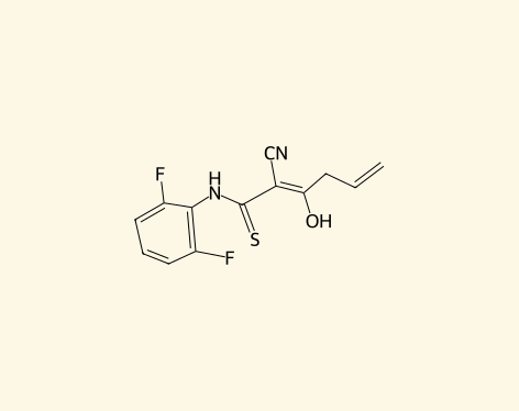 C=CC/C(O)=C(\C#N)C(=S)Nc1c(F)cccc1F